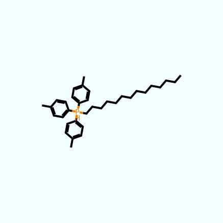 CCCCCCCCCCCCCC[PH](c1ccc(C)cc1)(c1ccc(C)cc1)c1ccc(C)cc1